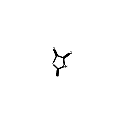 [CH]=C1NC(=O)C(=O)S1